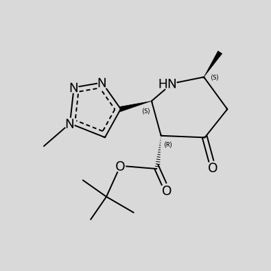 C[C@H]1CC(=O)[C@H](C(=O)OC(C)(C)C)[C@@H](c2cn(C)nn2)N1